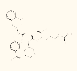 N=C(N)NCCC[C@H](NC(=O)[C@@H](NC(=O)[C@H](Cc1ccc(C(=N)N)cc1)[C@H]1CCc2ccccc2C1)C1CCCCC1)C(N)=O